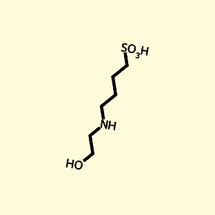 O=S(=O)(O)CCCCNCCO